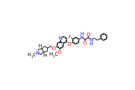 COc1cc2c(Oc3ccc(NC(=O)C(=O)NCCc4ccccc4)cc3F)ccnc2cc1OCC1C[C@@H]2CN(C)C[C@@H]2C1